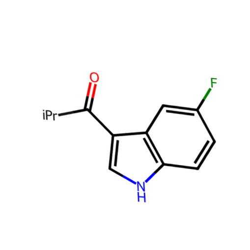 CC(C)C(=O)c1c[nH]c2ccc(F)cc12